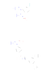 Nc1cc(F)ccc1NC(=O)CCCCCCCC(=O)Nc1ccc2c(c1)CC/C(=C\c1cc(C(F)(F)F)cc(C(F)(F)F)c1)C2=O